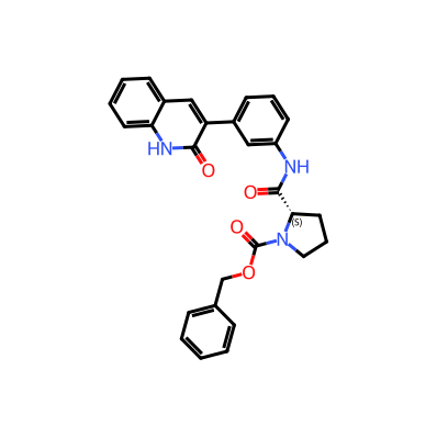 O=C(Nc1cccc(-c2cc3ccccc3[nH]c2=O)c1)[C@@H]1CCCN1C(=O)OCc1ccccc1